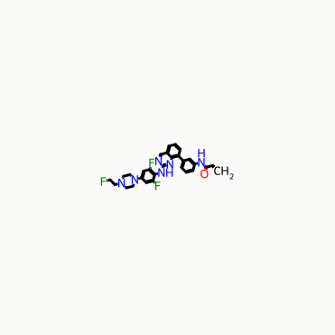 C=CC(=O)Nc1cccc(-c2cccc3cnc(Nc4c(F)cc(N5CCN(CCF)CC5)cc4F)nc23)c1